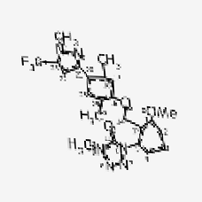 COc1cccc(-n2nnn(C)c2=O)c1COc1cc(C)c(-c2cc(C(F)(F)F)n(C)n2)cc1C